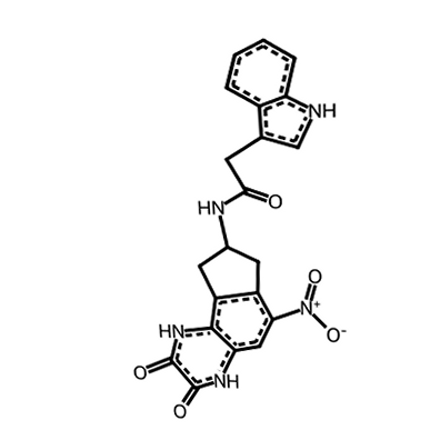 O=C(Cc1c[nH]c2ccccc12)NC1Cc2c([N+](=O)[O-])cc3[nH]c(=O)c(=O)[nH]c3c2C1